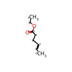 CC=CCCC(=O)OCC